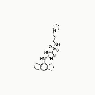 O=S(=O)(NCCCN1CCCC1)c1nnc(Nc2c3c(cc4c2CCC4)CCC3)[nH]1